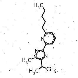 CCCCCc1cccc(-c2nc(C(C)C)n(C)n2)n1